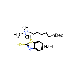 CCCCCCCCCCCCCCCC[N+](C)(C)C.Sc1nc2ccccc2s1.[NaH]